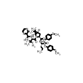 CCC[C@H](NC(=O)[C@@H]1C[C@H]2[C@@H](N1C(=O)[C@@H](NC(=O)c1cnccn1)C(C)(C)C)C2(C)C)P(=O)(Oc1ccc(SC)cc1)Oc1ccc(SC)cc1